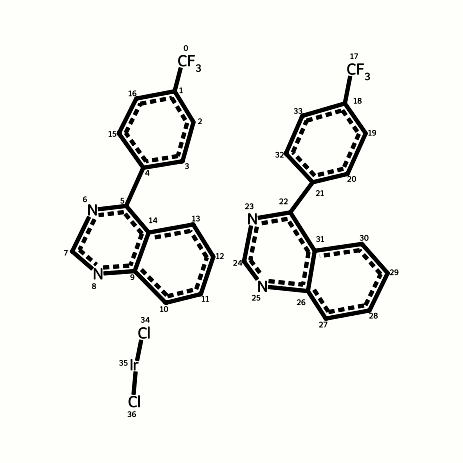 FC(F)(F)c1ccc(-c2ncnc3ccccc23)cc1.FC(F)(F)c1ccc(-c2ncnc3ccccc23)cc1.[Cl][Ir][Cl]